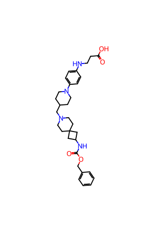 O=C(O)CCNc1ccc(N2CCC(CN3CCC4(CC3)CC(NC(=O)OCc3ccccc3)C4)CC2)cc1